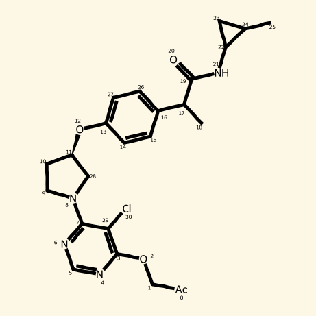 CC(=O)COc1ncnc(N2CC[C@@H](Oc3ccc(C(C)C(=O)NC4CC4C)cc3)C2)c1Cl